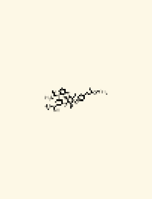 CCOC(=O)C=Cc1ccc(Oc2c(F)c(Oc3cccc(NC(=N)N)c3)nc(Oc3cc(C(=N)N)ccc3O)c2F)cc1